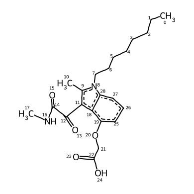 CCCCCCCCn1c(C)c(C(=O)C(=O)NC)c2c(OCC(=O)O)cccc21